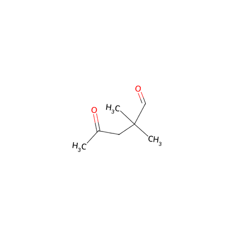 CC(=O)CC(C)(C)C=O